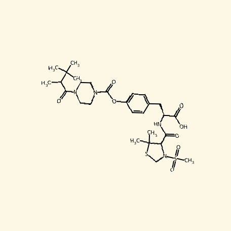 CC(C(=O)N1CCN(C(=O)Oc2ccc(C[C@H](NC(=O)C3N(S(C)(=O)=O)CSC3(C)C)C(=O)O)cc2)CC1)C(C)(C)C